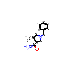 NC(=O)[C@H]1CN(Cc2ccccc2)C[C@@H]1C(F)(F)F